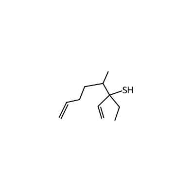 C=CCCC(C)C(S)(C=C)CC